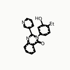 CCc1ccc(-n2c(-c3cccnc3)nc3ccccc3c2=O)cc1O